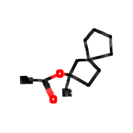 CCC(C)C(=O)OC1(CC)CCC2(CCCC2)C1